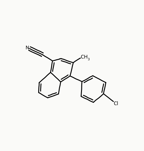 Cc1[c]c(C#N)c2ccccc2c1-c1ccc(Cl)cc1